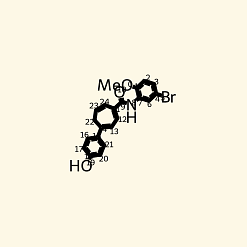 COc1ccc(Br)cc1NC(=O)C1=CC=C(c2ccc(O)cc2)CC=C1